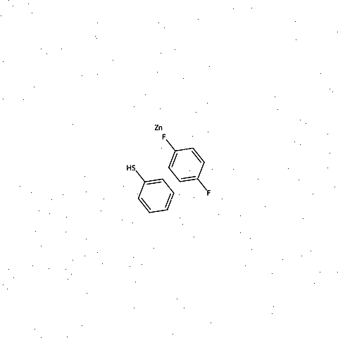 Fc1ccc(F)cc1.Sc1ccccc1.[Zn]